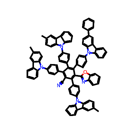 Cc1ccc2c(c1)c1ccccc1n2-c1ccc(-c2c(C#N)c(-c3ccc(-n4c5ccccc5c5cc(C)ccc54)cc3)c(-c3nc4ccccc4o3)c(-c3ccc(-n4c5ccccc5c5cc(-c6ccccc6)ccc54)cc3)c2-c2ccc(-n3c4ccccc4c4cc(C)ccc43)cc2)cc1